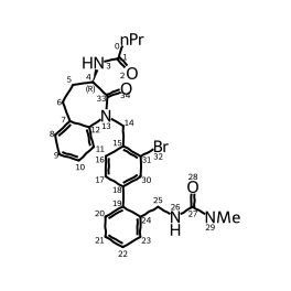 CCCC(=O)N[C@@H]1CCc2ccccc2N(Cc2ccc(-c3ccccc3CNC(=O)NC)cc2Br)C1=O